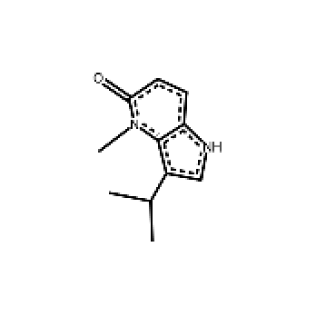 CC(C)c1c[nH]c2ccc(=O)n(C)c12